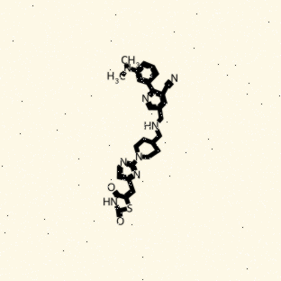 CN(C)c1cccc(-c2ncc(CNCC3CCN(c4nccc(C=C5SC(=O)NC5=O)n4)CC3)cc2C#N)c1